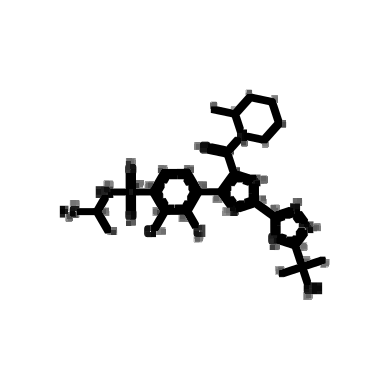 CC1CCCCN1C(=O)c1nc(-c2nnc(C(C)(C)O)o2)sc1-c1ccc(S(=O)(=O)NC(C)C(F)(F)F)c(Cl)c1Cl